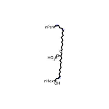 CCCCC/C=C\C/C=C\CCCCCCCCOCC(CCCCCCCC/C=C\C[C@H](O)CCCCCC)OC(=O)O